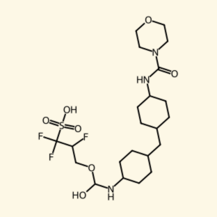 O=C(NC1CCC(CC2CCC(NC(O)OCC(F)C(F)(F)S(=O)(=O)O)CC2)CC1)N1CCOCC1